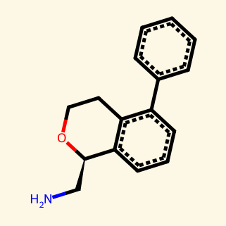 NC[C@H]1OCCc2c(-c3ccccc3)cccc21